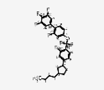 CCCCC1CCC(c2ccc(C(F)(F)Oc3ccc(-c4cc(F)c(F)c(F)c4)c(F)c3)c(F)c2)C1